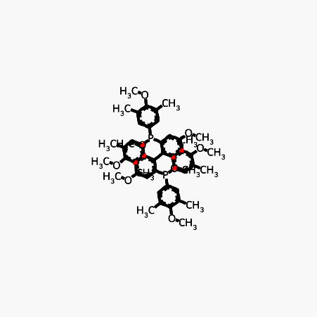 COc1cc(OC)c(-c2c(OC)cc(OC)cc2P(c2cc(C)c(OC)c(C)c2)c2cc(C)c(OC)c(C)c2)c(P(c2cc(C)c(OC)c(C)c2)c2cc(C)c(OC)c(C)c2)c1